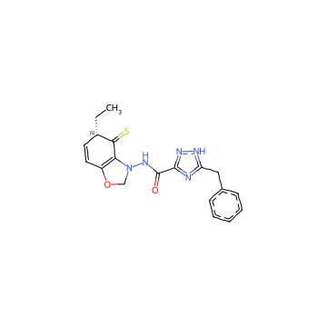 CC[C@H]1C=CC2=C(C1=S)N(NC(=O)c1n[nH]c(Cc3ccccc3)n1)CO2